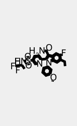 CCc1cc2c(cc1F)c(C(N)=O)c(-c1ccc(S(=O)(=O)NC(C)C(F)(F)F)cn1)n2-c1cccc(OC)c1